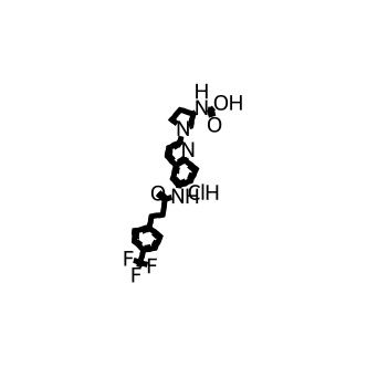 Cl.O=C(O)NC1CCN(c2ccc3cc(NC(=O)CCc4ccc(C(F)(F)F)cc4)ccc3n2)C1